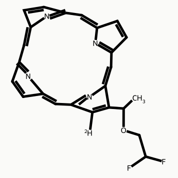 [2H]C1=C(C(C)OCC(F)F)C2=CC3=NC(=CC4=NC(=CC5=NC(=CC1=N2)C=C5)C=C4)C=C3